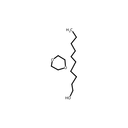 C1COCCO1.CCCCCCCCCCO